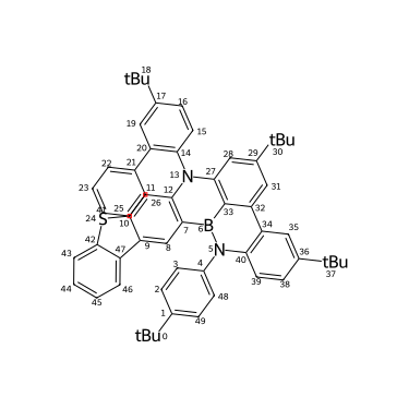 CC(C)(C)c1ccc(N2B3c4cc5c(cc4N(c4ccc(C(C)(C)C)cc4-c4ccccc4)c4cc(C(C)(C)C)cc(c43)-c3cc(C(C)(C)C)ccc32)sc2ccccc25)cc1